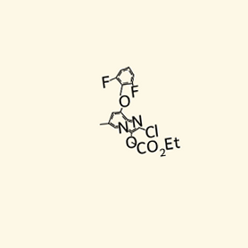 CCOC(=O)Oc1c(Cl)nc2c(OCc3c(F)cccc3F)cc(C)cn12